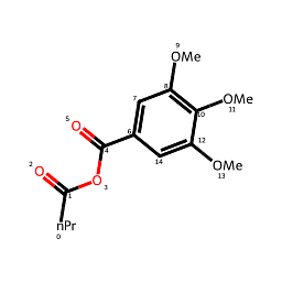 CCCC(=O)OC(=O)c1cc(OC)c(OC)c(OC)c1